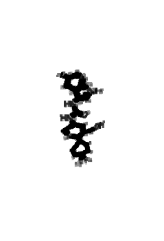 O=C(Nc1cnc(C2CCC(F)(F)CC2)c(CO)c1)Nc1c[nH]c2ncc(F)cc12